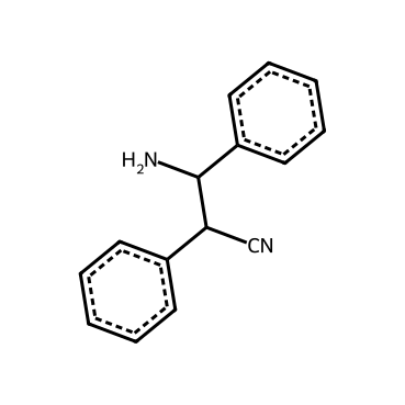 N#CC(c1ccccc1)C(N)c1ccccc1